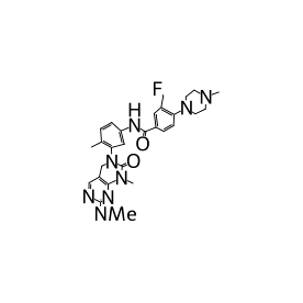 CNc1ncc2c(n1)N(C)C(=O)N(c1cc(NC(=O)c3ccc(N4CCN(C)CC4)c(CF)c3)ccc1C)C2